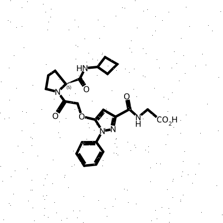 O=C(O)CNC(=O)c1cc(OCC(=O)N2CCC[C@H]2C(=O)NC2CCC2)n(-c2ccccc2)n1